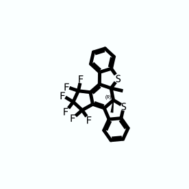 CC12Sc3ccccc3C1=C1C(=C3c4ccccc4S[C@]32C)C(F)(F)C(F)(F)C1(F)F